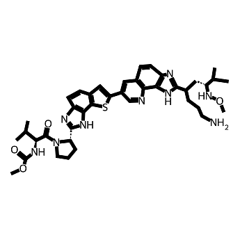 CON[C@H](CC(CCCN)c1nc2ccc3cc(-c4cc5ccc6nc([C@@H]7CCCN7C(=O)[C@@H](NC(=O)OC)C(C)C)[nH]c6c5s4)cnc3c2[nH]1)C(C)C